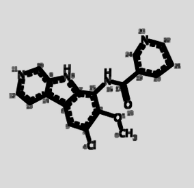 COc1c(Cl)cc2c([nH]c3cnccc32)c1NC(=O)c1cccnc1